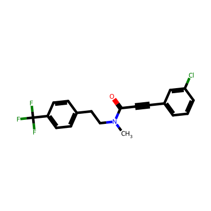 CN(CCc1ccc(C(F)(F)F)cc1)C(=O)C#Cc1cccc(Cl)c1